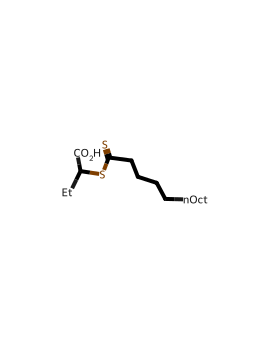 CCCCCCCCCCCCC(=S)SC(CC)C(=O)O